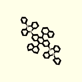 c1ccc(N2c3ccccc3N(c3ccc4c(-c5cccc6ccccc56)c5cc(N6c7ccccc7N(c7ccccc7)c7ccccc76)ccc5c(-c5cccc6ccccc56)c4c3)c3ccccc32)cc1